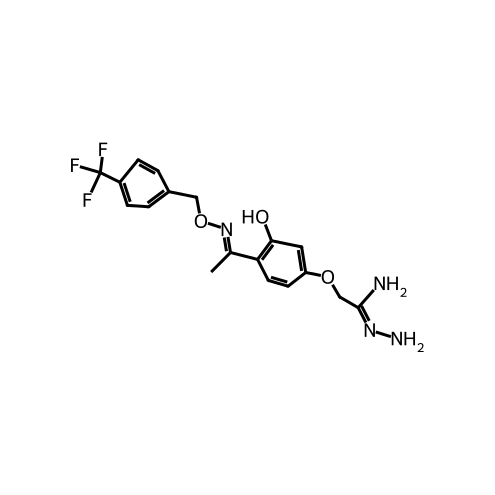 C/C(=N\OCc1ccc(C(F)(F)F)cc1)c1ccc(OC/C(N)=N/N)cc1O